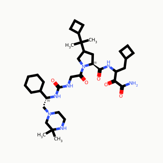 CC1(C)CN(C[C@@H](NC(=O)NCC(=O)N2CC(C(C)(C)C3CCC3)C[C@H]2C(=O)NC(CC2CCC2)C(=O)C(N)=O)C2CCCCC2)CCN1